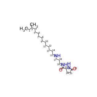 CCC(C)CCCCCCCCCCCCNCCCNC(=O)C1CCC(=O)N1